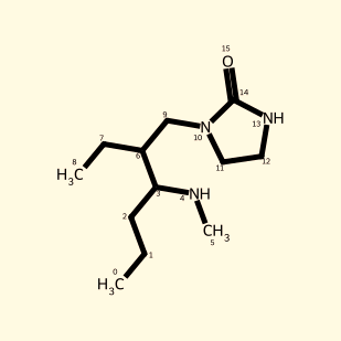 CCCC(NC)C(CC)CN1CCNC1=O